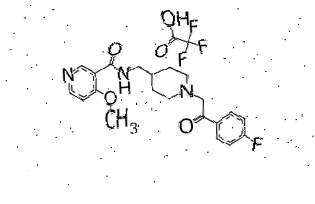 COc1ccncc1C(=O)NCC1CCN(CC(=O)c2ccc(F)cc2)CC1.O=C(O)C(F)(F)F